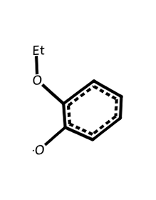 [CH2]COc1ccccc1[O]